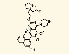 C#Cc1cccc2cc(O)cc(-c3cc4nc(OCCC56CCCN5CC(F)C6)nc5c4c(c3Cl)OCC3CNCCN53)c12